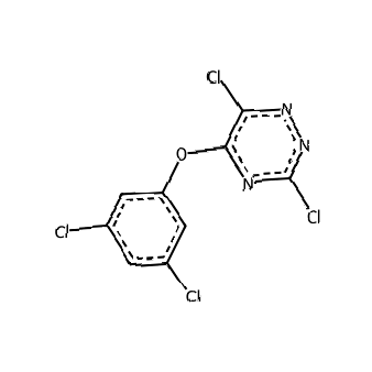 Clc1cc(Cl)cc(Oc2nc(Cl)nnc2Cl)c1